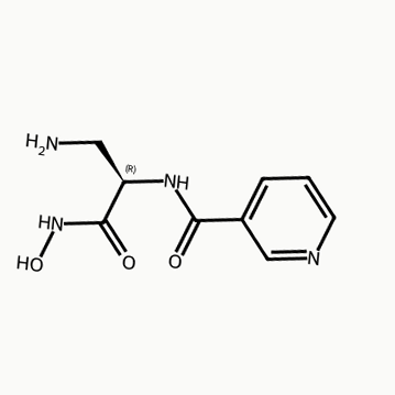 NC[C@@H](NC(=O)c1cccnc1)C(=O)NO